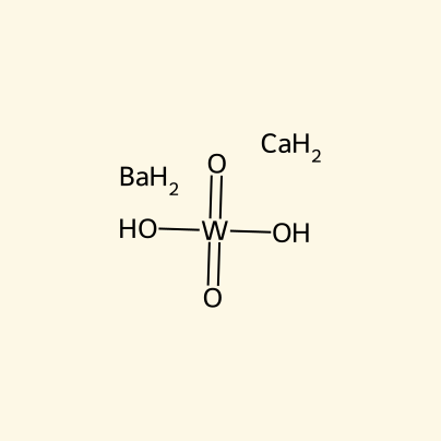 [BaH2].[CaH2].[O]=[W](=[O])([OH])[OH]